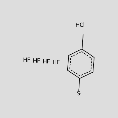 Cc1ccc([S])cc1.Cl.F.F.F.F